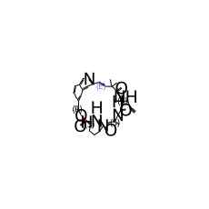 C#CC[C@@H]1NC(=O)C(C)(C)/C=C/c2cc3cc(ccc3cn2)[C@@H](C)OC(=O)[C@@H]2CCCN(N2)C(=O)[C@H](C)NC1=O